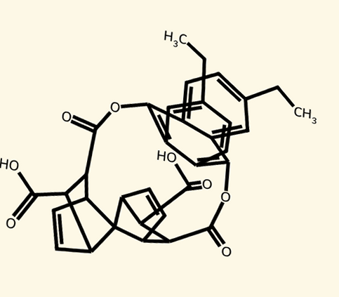 CCc1ccc2c3c4cc(CC)ccc4c(c2c1)OC(=O)C1C(C(=O)O)C2C=CC1C21C2C=CC1C(C(=O)O3)C2C(=O)O